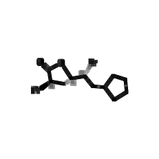 CC(C)[C@@H]1C[C@@H]([C@H](Br)CC2CCCC2)OC1=O